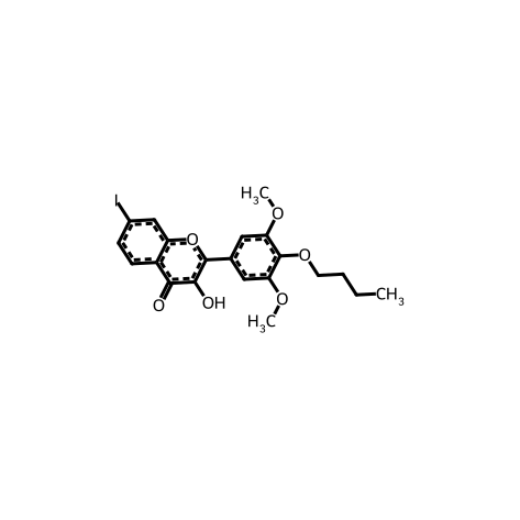 CCCCOc1c(OC)cc(-c2oc3cc(I)ccc3c(=O)c2O)cc1OC